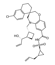 C=CC[C@@H]1C[C@@H]1S(=O)(=O)NC(=O)c1ccc2c(c1)N(C[C@@H]1CC[C@H]1[C@@H](O)C=C)C[C@@]1(CCCc3cc(Cl)ccc31)CO2